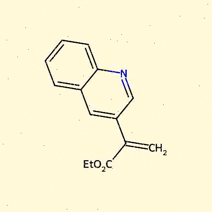 C=C(C(=O)OCC)c1cnc2ccccc2c1